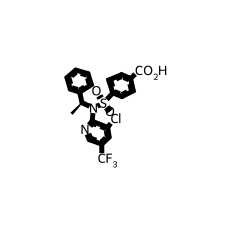 C[C@@H](c1ccccc1)N(c1ncc(C(F)(F)F)cc1Cl)S(=O)(=O)c1ccc(C(=O)O)cc1